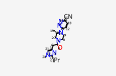 CC(C)c1nc(CC(=O)N2CCN(c3ccc(C#N)nn3)[C@H](C)C2)cn1C